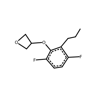 CCCc1c(F)ccc(F)c1OC1COC1